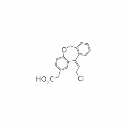 O=C(O)Cc1ccc2c(c1)C(=CCCl)c1ccccc1CO2